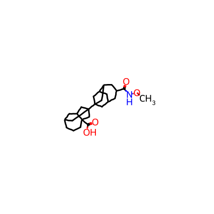 CONC(=O)C1CC2CC3CC(C45CC6CCCC(C(=O)O)(C4)C(C6)C5)(C2)CC3C1